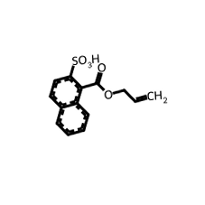 C=CCOC(=O)c1c(S(=O)(=O)O)ccc2ccccc12